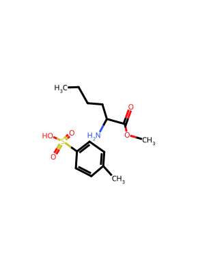 CCCCC(N)C(=O)OC.Cc1ccc(S(=O)(=O)O)cc1